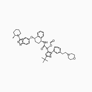 C[C@H]1CCCCN1c1nnc2ccc(O[C@@H]3CC[C@H](NC(=O)N(OC=O)c4cc(C(C)(C)C)nn4-c4cccc(CCN5CCOCC5)c4)c4ccccc43)cn12